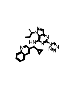 CC[C@@H](C)n1ncc2nc(-n3cnnn3)nc(N[C@@H](c3cnc4ccccc4c3)C3CC3)c21